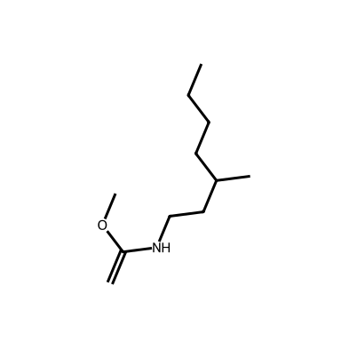 C=C(NCCC(C)CCCC)OC